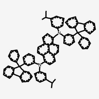 CC(C)c1cccc(N(c2cccc(C3(c4ccccc4)c4ccccc4-c4ccccc43)c2)c2ccc3ccc4c(N(c5cccc(C(C)C)c5)c5cccc(C6(c7ccccc7)c7ccccc7-c7ccccc76)c5)ccc5ccc2c3c54)c1